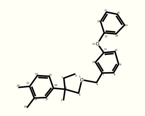 CCC(C)(COCc1cccc(Oc2ccccc2)c1)c1ccc(C)c(C)c1